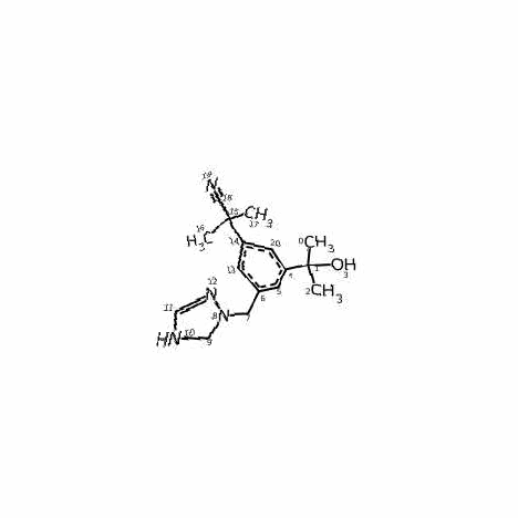 CC(C)(O)c1cc(CN2CNC=N2)cc(C(C)(C)C#N)c1